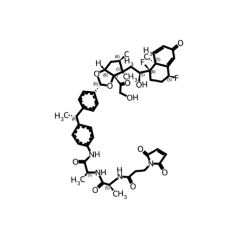 C[C@@H](c1ccc(NC(=O)[C@H](C)NC(=O)[C@H](C)NC(=O)CCN2C(=O)C=CC2=O)cc1)c1ccc([C@@H]2O[C@@H]3C[C@@H](C)[C@](C)(C[C@H](O)[C@@]4(F)CC[C@H](F)C5=CC(=O)C=C[C@@]54C)[C@]3(C(=O)CO)O2)cc1